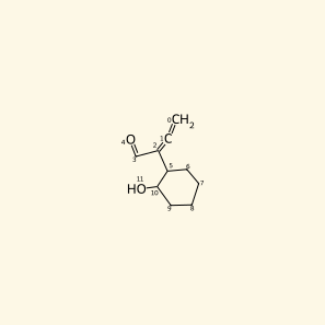 C=C=C(C=O)C1CCCCC1O